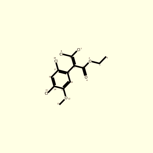 CCOC(=O)C(=C(Cl)Cl)c1cc(OC)c(Cl)cc1Cl